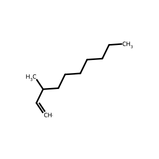 [CH]=CC(C)CCCCCCC